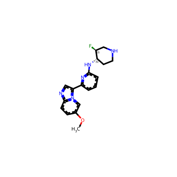 COc1ccc2ncc(-c3cccc(N[C@H]4CCNC[C@@H]4F)n3)n2c1